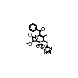 COC1C(=O)N2C(C(=O)c3ccccc3)=C(C)C(Sc3nnnn3C)S(=O)(=O)C12